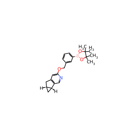 CC1(C)OB(c2cccc(COc3cc4c(cn3)[C@@H]3C[C@@H]3C4)c2)OC1(C)C